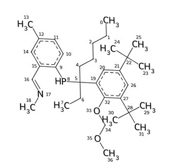 CCCCCC(CC)(Pc1ccc(C)cc1/C=N/C)c1cc(C(C)(C)C)cc(C(C)(C)C)c1OCOC